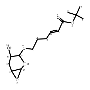 CC(C)(C)OC(=O)/C=C/CCCOC1OC2OC2CC1O